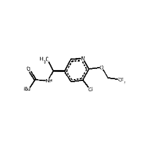 CCC(C)C(=O)NC(C)c1cnc(OCC(F)(F)F)c(Cl)c1